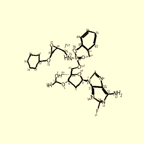 CC(C)C(O)O[C@H]1C[C@H](n2cnc3c(N)nc(F)nc32)O[C@]1(C)CO[P@@](=O)(N[C@@H](C)C1OC1OC1CCCCC1)OC1C=CC=CC1C